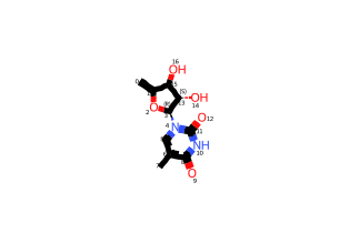 C=C1O[C@@H](n2cc(C)c(=O)[nH]c2=O)[C@@H](O)C1O